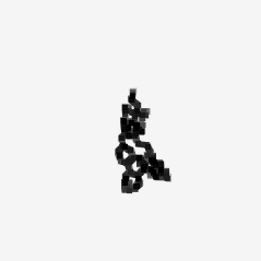 CCCc1nc(C(F)(F)CCC)nn1Cc1ccc(-c2cnccc2-c2nnn[nH]2)cc1